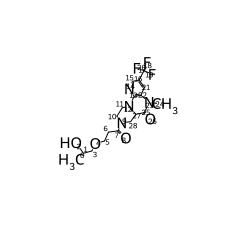 CC(O)COCCC(=O)N1CCN2c3ncc(C(F)(F)F)cc3N(C)C(=O)C2C1